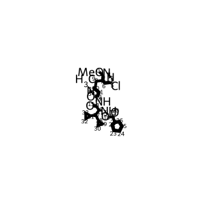 COc1nnc(Cl)cc1C(C)c1cc(NC(=O)[C@@H](NOC(=O)c2ccccc2)C(C2CC2)C2CC2)on1